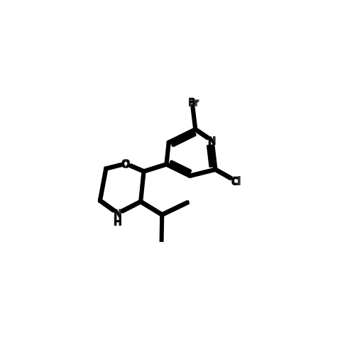 CC(C)C1NCCOC1c1cc(Cl)nc(Br)c1